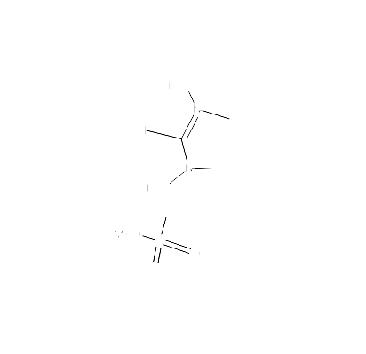 CN(C)C(Cl)=[N+](C)C.COS(=O)(=O)[O-]